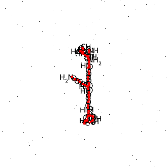 CC(=O)CNC(=O)[C@H](CC(=O)O)NC(=O)CNC(=O)[C@H](CCCNC(=N)N)NC(=O)[C@@H](N)CCCCNC(=O)CCOCCOCCOCCOCCNC(=O)C(CCC(=O)NCCOCCOCCOCCOCCC(=O)NCCCC[C@@H]1NC(=O)[C@@H](Cc2ccccc2)NC(=O)CNC(=O)CNC(=O)CNC1=O)NC(=O)CCOCCOCCOCCOCCN